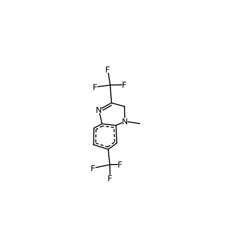 CN1CC(C(F)(F)F)=Nc2ccc(C(F)(F)F)cc21